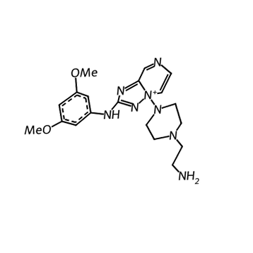 COc1cc(NC2=N[N+]3(N4CCN(CCN)CC4)C=CN=CC3=N2)cc(OC)c1